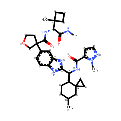 CCNC(=O)[C@H](NC(=O)C1(c2ccc3[nH]c(C(NC(=O)c4ccnn4C)C4CCC(C)CC45CC5)nc3c2)CCOC1)C1(C)CCC1